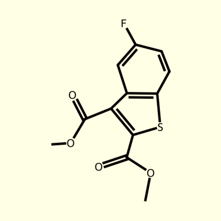 COC(=O)c1sc2ccc(F)cc2c1C(=O)OC